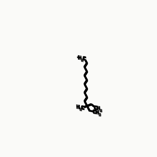 [CH2]CCCCCCCCCCC(C)(CC)CC